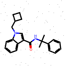 CC(C)(NC(=O)c1cn(CC2CCC2)c2ccccc12)c1ccccc1